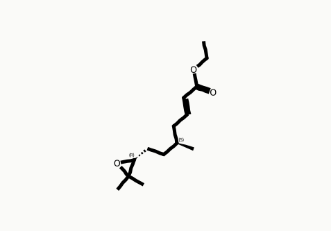 CCOC(=O)C=CC[C@@H](C)CC[C@H]1OC1(C)C